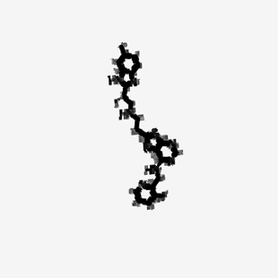 Cc1ccc2nc([C@@H](C)CNCCc3nc4c(NCc5ncccc5F)ncnc4s3)[nH]c2c1